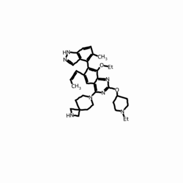 C/C=C\c1cc2c(N3CCC4(CC3)CNC4)nc(OC3CCN(CC)CC3)nc2c(OCC)c1-c1c(C)ccc2[nH]ncc12